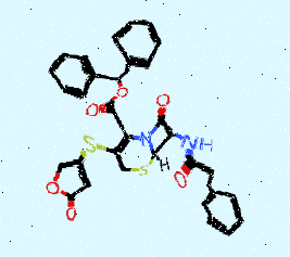 O=C(Cc1ccccc1)N[C@@H]1C(=O)N2C(C(=O)OC(c3ccccc3)c3ccccc3)=C(SC3=CC(=O)OC3)CS[C@@H]12